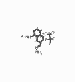 CC(=O)Nc1cccc2ccc(C=NN)cc12.O=C(O)C(F)(F)F